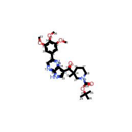 COc1cc(-c2cnc3[nH]cc(C(=O)C4(C)CCCN(C(=O)OC(C)(C)C)C4)c3n2)cc(OC)c1OC